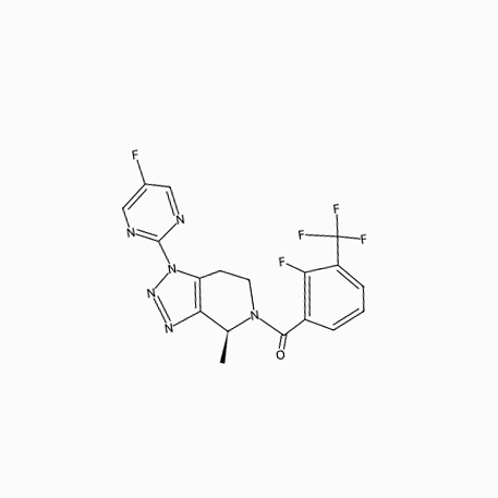 C[C@H]1c2nnn(-c3ncc(F)cn3)c2CCN1C(=O)c1cccc(C(F)(F)F)c1F